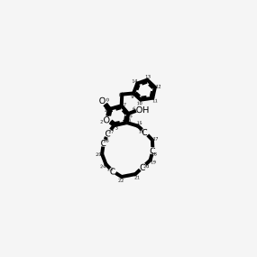 O=c1oc2c(c(O)c1Cc1ccccc1)CCCCCCCCCCCCC2